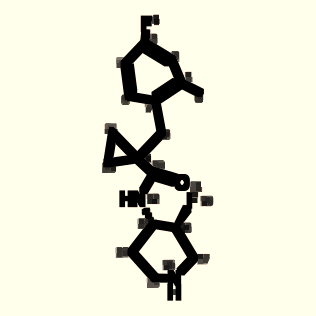 Cc1cc(F)ccc1CC1(C(=O)N[C@H]2CCNC[C@@H]2F)CC1